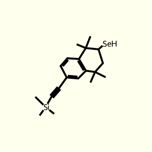 CC1(C)CC([SeH])C(C)(C)c2ccc(C#C[Si](C)(C)C)cc21